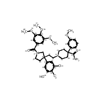 COc1cccc(C2(C(N)=O)CCN(CCC3(c4ccc(Cl)c(Cl)c4)CCN(C(=O)c4cc(OC)c(OC)c(OC)c4)C3)CC2)c1.Cl